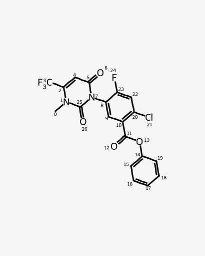 Cn1c(C(F)(F)F)cc(=O)n(-c2cc(C(=O)Oc3ccccc3)c(Cl)cc2F)c1=O